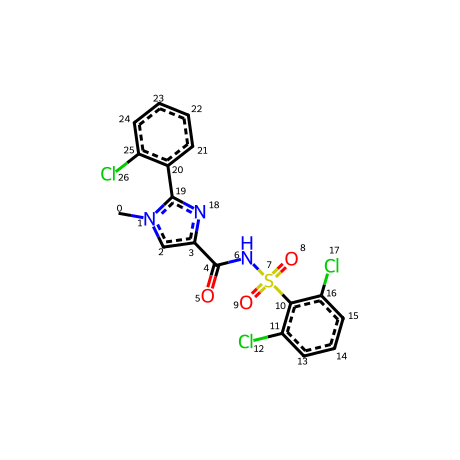 Cn1cc(C(=O)NS(=O)(=O)c2c(Cl)cccc2Cl)nc1-c1ccccc1Cl